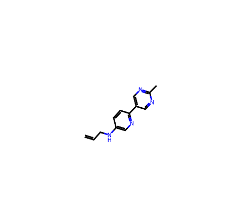 C=CCNc1ccc(-c2cnc(C)nc2)nc1